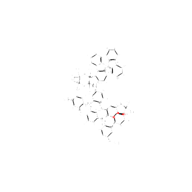 Cc1cc2c3c(c1)N(c1ccc(C(C)(C)C)cc1-c1ccccc1)c1cc4c(cc1B3c1ccc(N3c5ccc([Si](c6ccccc6)(c6ccccc6)c6ccccc6)cc5C5(C)CC(C)(C)C(C)(C)CC35C)cc1N2c1ccc(C(C)(C)C)cc1C)CC(C)(C)C4